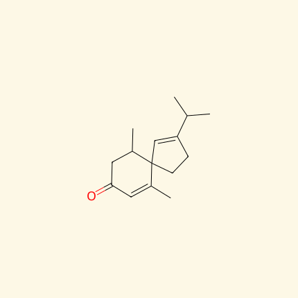 CC1=CC(=O)CC(C)C12C=C(C(C)C)CC2